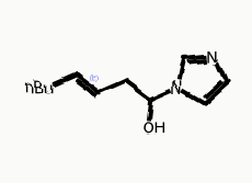 CCCC/C=C/CC(O)n1ccnc1